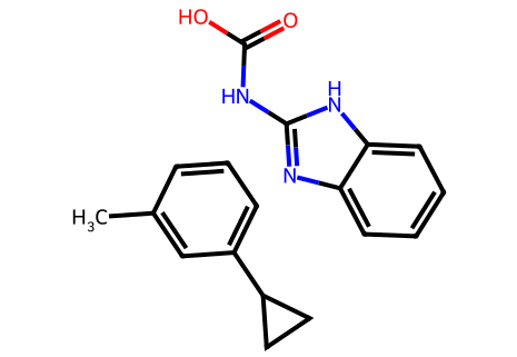 Cc1cccc(C2CC2)c1.O=C(O)Nc1nc2ccccc2[nH]1